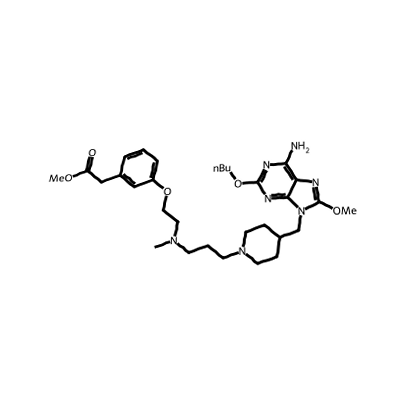 CCCCOc1nc(N)c2nc(OC)n(CC3CCN(CCCN(C)CCOc4cccc(CC(=O)OC)c4)CC3)c2n1